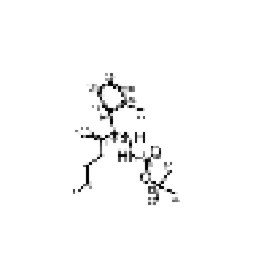 CCCCC(=O)[C@H](NNC(=O)OC(C)(C)C)c1ccccc1C